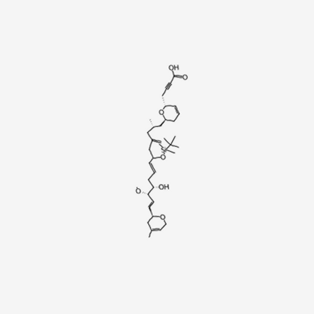 C=C(CC(/C=C/C[C@H](O)[C@H](/C=C/[C@@H]1CC(C)=CCO1)OC)O[Si](C)(C)C(C)(C)C)C[C@H](C)C[C@@H]1CC=C[C@@H](CC#CC(=O)O)O1